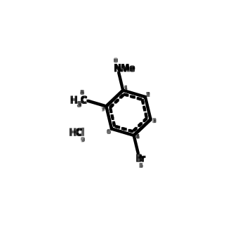 CNc1ccc(Br)cc1C.Cl